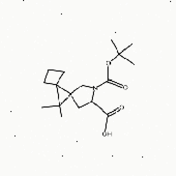 CC(C)(C)OC(=O)N1CC2(CC1C(=O)O)C(C)(C)C21CCC1